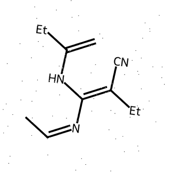 C=C(CC)NC(/N=C\C)=C(\C#N)CC